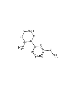 CN1CCNCC1c1cccc(CN)c1